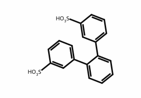 O=S(=O)(O)c1cccc(-c2ccccc2-c2cccc(S(=O)(=O)O)c2)c1